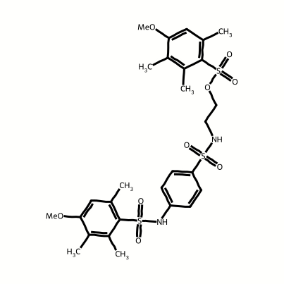 COc1cc(C)c(S(=O)(=O)Nc2ccc(S(=O)(=O)NCCOS(=O)(=O)c3c(C)cc(OC)c(C)c3C)cc2)c(C)c1C